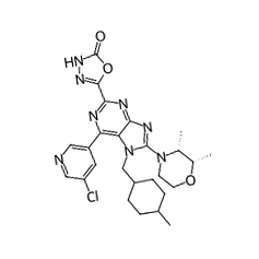 CC1CCC(Cn2c(N3CCO[C@@H](C)[C@H]3C)nc3nc(-c4n[nH]c(=O)o4)nc(-c4cncc(Cl)c4)c32)CC1